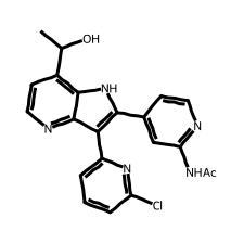 CC(=O)Nc1cc(-c2[nH]c3c(C(C)O)ccnc3c2-c2cccc(Cl)n2)ccn1